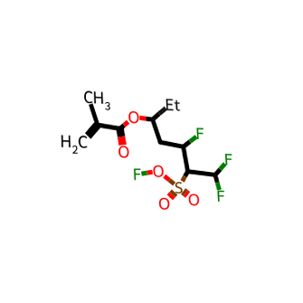 C=C(C)C(=O)OC(CC)CC(F)C(C(F)F)S(=O)(=O)OF